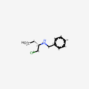 O=C(O)C[C@@H](CCl)NCc1ccccc1